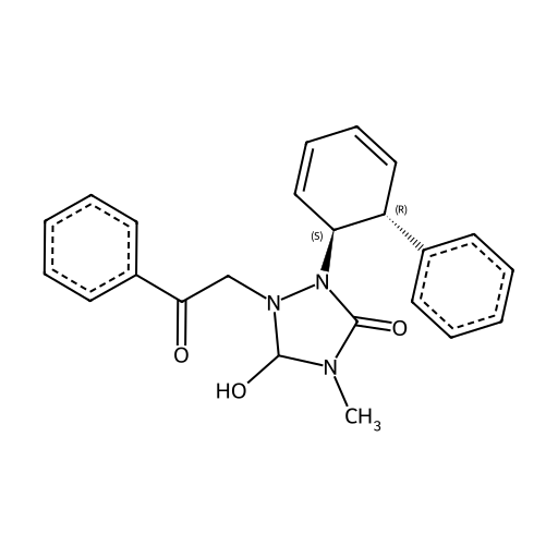 CN1C(=O)N([C@H]2C=CC=C[C@@H]2c2ccccc2)N(CC(=O)c2ccccc2)C1O